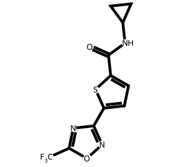 O=C(NC1CC1)c1ccc(-c2noc(C(F)(F)F)n2)s1